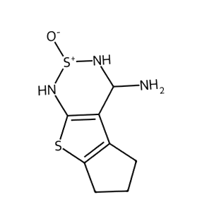 NC1N[S+]([O-])Nc2sc3c(c21)CCC3